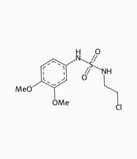 COc1ccc(NS(=O)(=O)NCCCl)cc1OC